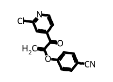 C=C(Oc1ccc(C#N)cc1)C(=O)c1ccnc(Cl)c1